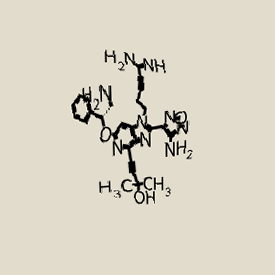 CC(C)(O)C#Cc1nc(O[C@@H](CN)c2ccccc2)cc2c1nc(-c1nonc1N)n2CCC#CC(=N)N